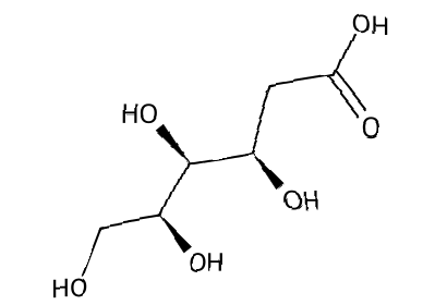 O=C(O)C[C@@H](O)[C@H](O)[C@@H](O)CO